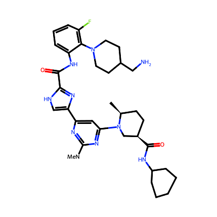 CNc1nc(-c2c[nH]c(C(=O)Nc3cccc(F)c3N3CCC(CN)CC3)n2)cc(N2C[C@H](C(=O)NC3CCCCC3)CC[C@@H]2C)n1